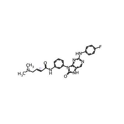 CN(C)C/C=C/C(=O)Nc1cccc(-n2c(=O)[nH]c3cnc(Nc4ccc(F)cc4)nc32)c1